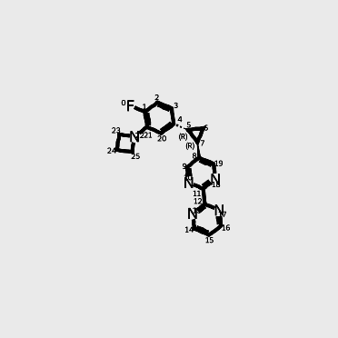 Fc1ccc([C@@H]2C[C@H]2c2cnc(-c3ncccn3)nc2)cc1N1CCC1